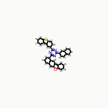 c1ccc2cc(-c3nc(-c4ccc5sc6ccccc6c5c4)nc(-c4cccc5cc6oc7ccccc7c6cc45)n3)ccc2c1